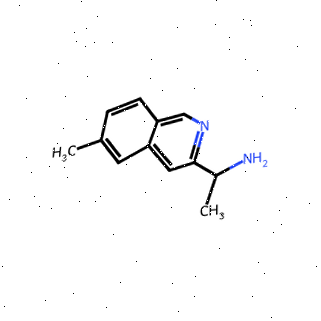 Cc1ccc2cnc(C(C)N)cc2c1